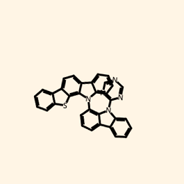 c1ccc2c(c1)sc1c2ccc2c3ccccc3n(-c3cccc4c5ccccc5n(-c5ncncn5)c34)c21